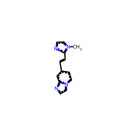 Cn1ccnc1C=Cc1ccn2ccnc2c1